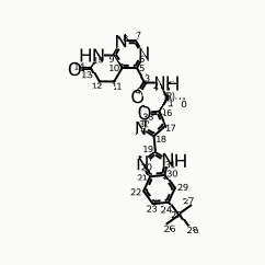 C[C@@H](NC(=O)c1ncnc2c1CCC(=O)N2)c1cc(-c2nc3ccc(C(C)(C)C)cc3[nH]2)no1